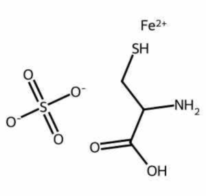 NC(CS)C(=O)O.O=S(=O)([O-])[O-].[Fe+2]